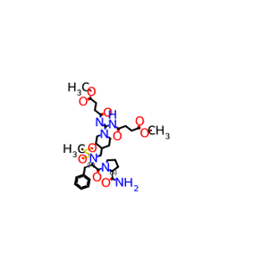 COC(=O)CCC(=O)N=C(NC(=O)CCC(=O)OC)N1CCC(CN([C@H](Cc2ccccc2)C(=O)N2CCC[C@H]2C(N)=O)S(C)(=O)=O)CC1